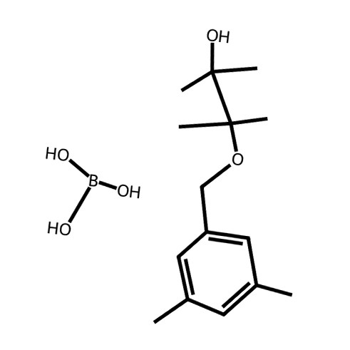 Cc1cc(C)cc(COC(C)(C)C(C)(C)O)c1.OB(O)O